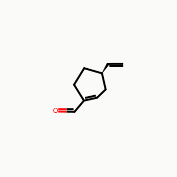 C=C[C@H]1CC=C(C=O)CC1